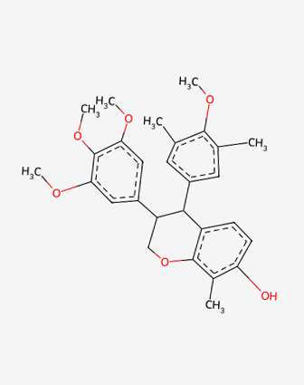 COc1cc(C2COc3c(ccc(O)c3C)C2c2cc(C)c(OC)c(C)c2)cc(OC)c1OC